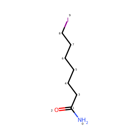 NC(=O)CCCCCCI